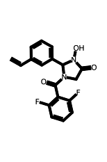 C=Cc1cccc(C2N(O)C(=O)CN2C(=O)c2c(F)cccc2F)c1